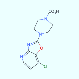 O=C(O)N1CCN(c2nc3nccc(Cl)c3o2)CC1